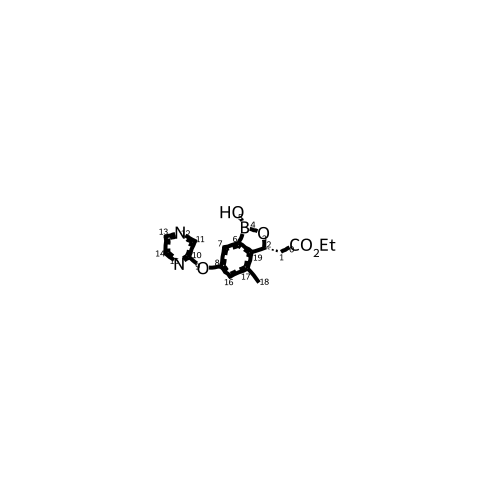 CCOC(=O)C[C@H]1OB(O)c2cc(Oc3cnccn3)cc(C)c21